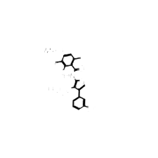 COc1cc(I)c(C(=O)Nc2scc(-c3cccc(Br)c3)c2C(=O)O)c(I)c1I